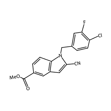 COC(=O)c1ccc2c(c1)cc(C#N)n2Cc1ccc(Cl)c(F)c1